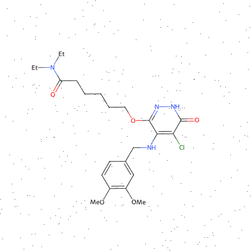 CCN(CC)C(=O)CCCCCOc1n[nH]c(=O)c(Cl)c1NCc1ccc(OC)c(OC)c1